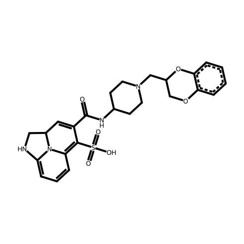 O=C(NC1CCN(CC2COc3ccccc3O2)CC1)C1=CC2CNC3=CC=CC(=C1S(=O)(=O)O)N32